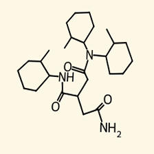 CC1CCCCC1NC(=O)C(CC(N)=O)CC(=O)N(C1CCCCC1C)C1CCCCC1C